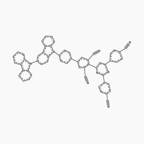 N#Cc1ccc(-c2cc(-c3c(C#N)cc(-c4ccc(-n5c6ccccc6c6cc(-n7c8ccccc8c8ccccc87)ccc65)cc4)cc3C#N)nc(-c3ccc(C#N)cc3)n2)cc1